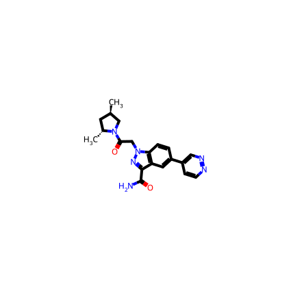 C[C@@H]1C[C@@H](C)N(C(=O)Cn2nc(C(N)=O)c3cc(-c4ccnnc4)ccc32)C1